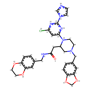 O=C(CC1CN(Cc2ccc3c(c2)OCO3)CCN1c1cc(Cl)nc(-n2ccnc2)n1)NCc1ccc2c(c1)OCCO2